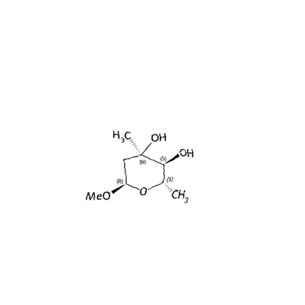 CO[C@H]1C[C@@](C)(O)[C@@H](O)[C@H](C)O1